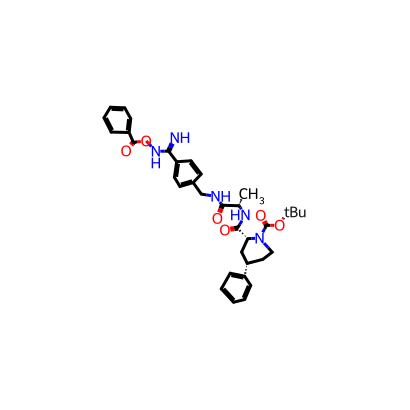 C[C@H](NC(=O)[C@H]1C[C@@H](c2ccccc2)CCN1C(=O)OC(C)(C)C)C(=O)NCc1ccc(C(=N)NOC(=O)c2ccccc2)cc1